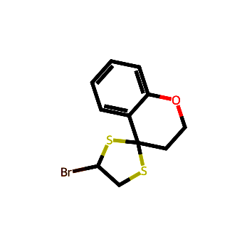 BrC1CSC2(CCOc3ccccc32)S1